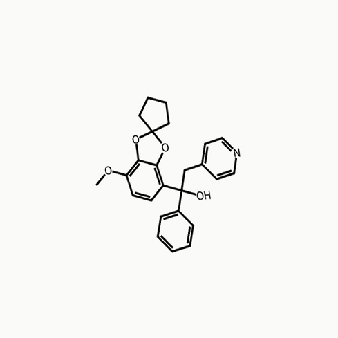 COc1ccc(C(O)(Cc2ccncc2)c2ccccc2)c2c1OC1(CCCC1)O2